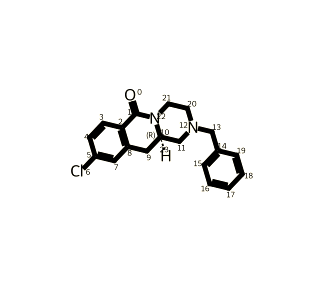 O=C1c2ccc(Cl)cc2C[C@@H]2CN(Cc3ccccc3)CCN12